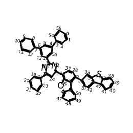 c1ccc(-c2cc(-c3ccccc3)cc(-c3nc(-c4ccccc4)cc(-c4ccc(-c5ccc6c(c5)sc5ccccc56)c5c4oc4ccccc45)n3)c2)cc1